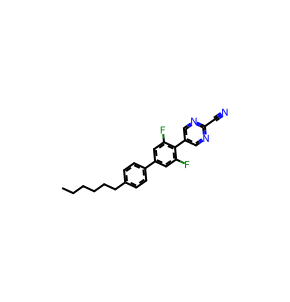 CCCCCCc1ccc(-c2cc(F)c(-c3cnc(C#N)nc3)c(F)c2)cc1